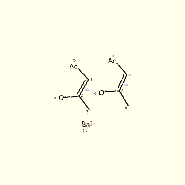 CC(=O)/C=C(/C)[O-].CC(=O)/C=C(/C)[O-].[Ba+2]